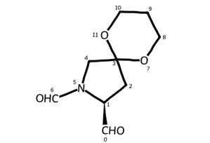 O=C[C@@H]1CC2(CN1C=O)OCCCO2